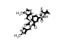 Cn1cc(Cn2c(=O)c3cc(S(=O)(=O)NC4(CF)CC4)ccc3n(Cc3cncn3C)c2=O)cn1